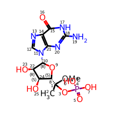 COC(C)(OP(=O)(O)O)[C@H]1O[C@@H](n2cnc3c(=O)[nH]c(N)nc32)[C@H](O)[C@@H]1O